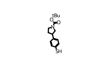 CC(C)(C)OC(=O)N1CCC(c2ccc(S)cc2)C1